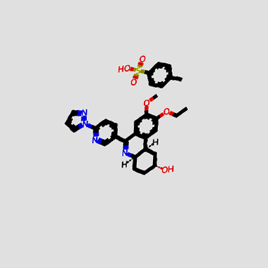 CCOc1cc2c(cc1OC)C(c1ccc(-n3cccn3)nc1)=N[C@@H]1CC[C@@H](O)C[C@H]21.Cc1ccc(S(=O)(=O)O)cc1